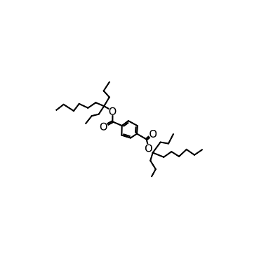 CCCCCCC(CCC)(CCC)OC(=O)c1ccc(C(=O)OC(CCC)(CCC)CCCCCC)cc1